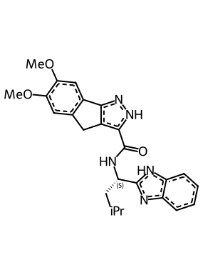 COc1cc2c(cc1OC)-c1n[nH]c(C(=O)N[C@@H](CC(C)C)c3nc4ccccc4[nH]3)c1C2